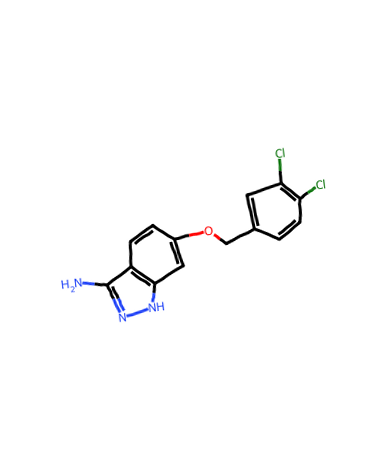 Nc1n[nH]c2cc(OCc3ccc(Cl)c(Cl)c3)ccc12